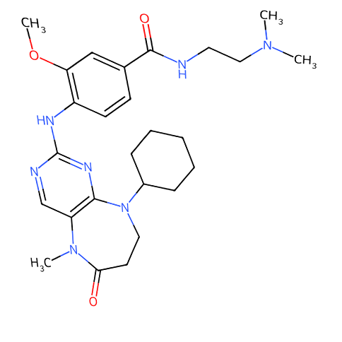 COc1cc(C(=O)NCCN(C)C)ccc1Nc1ncc2c(n1)N(C1CCCCC1)CCC(=O)N2C